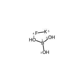 OB(O)O.[F][K]